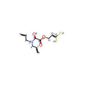 C=CCN(CC=C)C(=O)C(=O)OCC=C(F)F